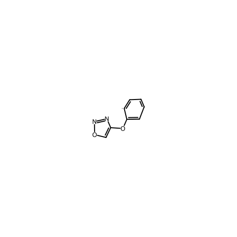 [c]1ccccc1Oc1conn1